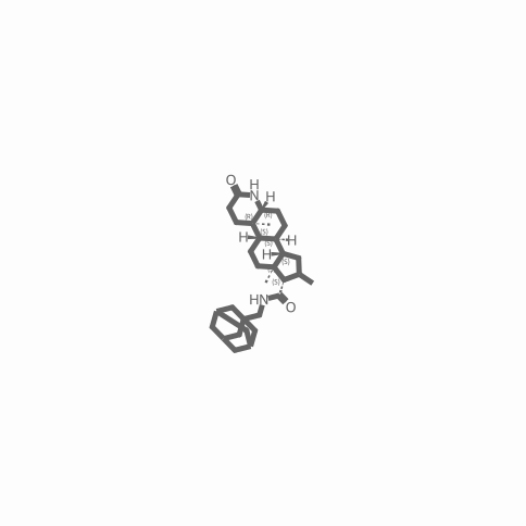 CC1C[C@H]2[C@@H]3CC[C@H]4NC(=O)CC[C@]4(C)[C@H]3CC[C@]2(C)[C@H]1C(=O)NCC12CC3CC(CC(C3)C1)C2